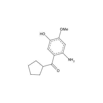 COc1cc(N)c(C(=O)C2CCCC2)cc1O